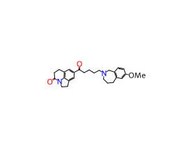 COc1ccc2c(c1)CCCN(CCCCC(=O)c1cc3c4c(c1)CCN4C(=O)CC3)C2